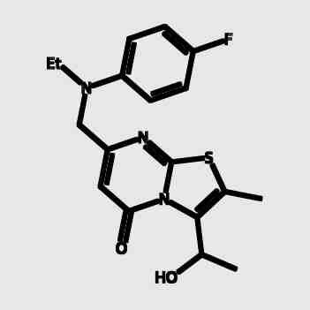 CCN(Cc1cc(=O)n2c(C(C)O)c(C)sc2n1)c1ccc(F)cc1